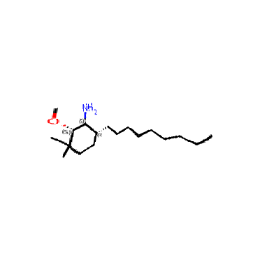 CCCCCCCCC[C@@H]1CCC(C)(C)[C@H](OC)[C@H]1N